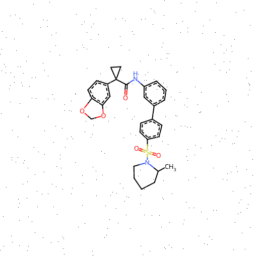 CC1CCCCN1S(=O)(=O)c1ccc(-c2cccc(NC(=O)C3(c4ccc5c(c4)OCO5)CC3)c2)cc1